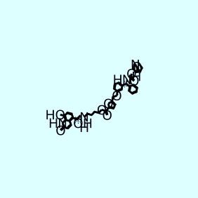 O=C(N[C@@H](c1ccccc1)c1cccc(OCc2ccc(C(=O)OCCCCNC[C@H](O)c3ccc(O)c4[nH]c(=O)ccc34)o2)c1)O[C@H]1CN2CCC1CC2